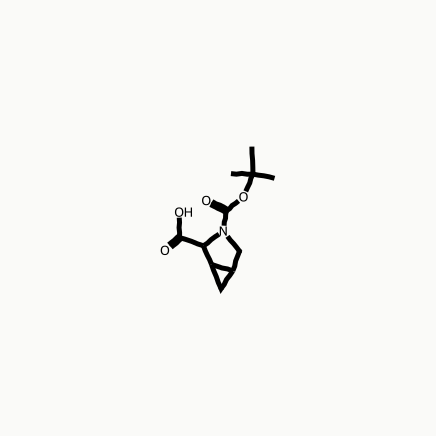 CC(C)(C)OC(=O)N1CC2CC2C1C(=O)O